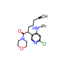 C#CCCCC(C(=O)N1CCOCC1)c1cnc(Cl)cc1NC(C)C